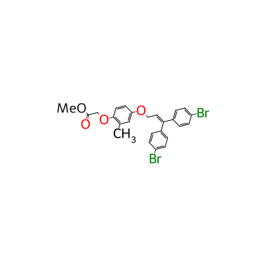 COC(=O)COc1ccc(OCC=C(c2ccc(Br)cc2)c2ccc(Br)cc2)cc1C